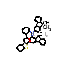 CC1(C)c2ccccc2-c2cc(N(c3ccccc3-c3ccc4sc5ccccc5c4c3)c3cccc4c3C(C)(C)c3ccccc3-4)ccc21